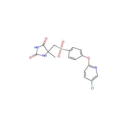 CC1(CS(=O)(=O)c2ccc(Oc3ccc(Cl)cn3)cc2)NC(=O)NC1=O